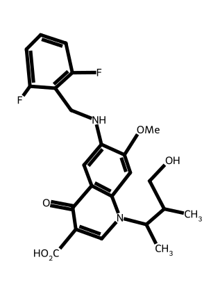 COc1cc2c(cc1NCc1c(F)cccc1F)c(=O)c(C(=O)O)cn2C(C)C(C)CO